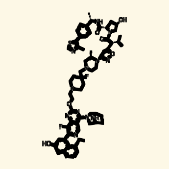 CCc1cccc2cc(O)cc(-c3ncc4c(N5CC6CCC(C5)N6)nc(OCCN5CCC(F)(CN6CCN(c7cc([C@H](C(=O)N8C[C@H](O)C[C@H]8C(=O)N[C@@H](C)c8ccc(-c9scnc9C)cc8)C(C)C)on7)[C@H](C)C6)CC5)nc4c3F)c12